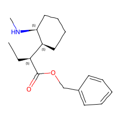 CC[C@H](C(=O)OCc1ccccc1)[C@@H]1CCCC[C@@H]1NC